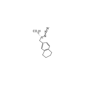 [N-]=[N+]=N[C@@H](CC(=O)O)Cc1ccc2c(c1)CCCC2